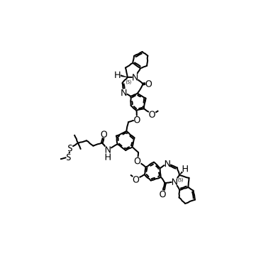 COc1cc2c(cc1OCc1cc(COc3cc4c(cc3OC)C(=O)N3C5=C(C=CCC5)C[C@H]3C=N4)cc(NC(=O)CCC(C)(C)SSC)c1)N=C[C@@H]1CC3=C(CCC=C3)N1C2=O